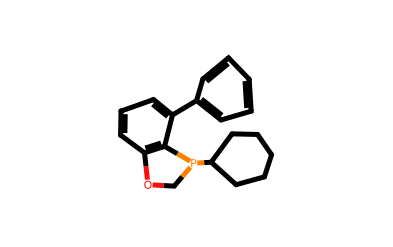 c1ccc(-c2cccc3c2P(C2CCCCC2)CO3)cc1